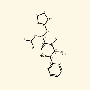 CC(C)C[C@H](CC1OCCO1)C(=O)N(C)[C@H](P)[C@H](O)c1ccccc1